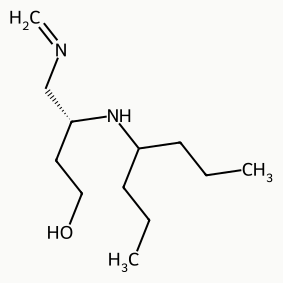 C=NC[C@@H](CCO)NC(CCC)CCC